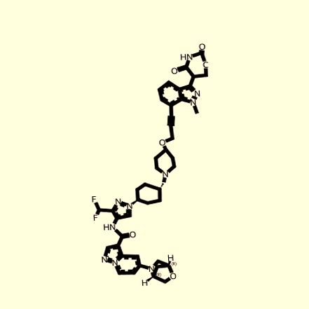 Cn1nc(C2CCC(=O)NC2=O)c2cccc(C#CCOC3CCN(C[C@H]4CC[C@H](n5cc(NC(=O)c6cnn7ccc(N8C[C@H]9C[C@@H]8CO9)cc67)c(C(F)F)n5)CC4)CC3)c21